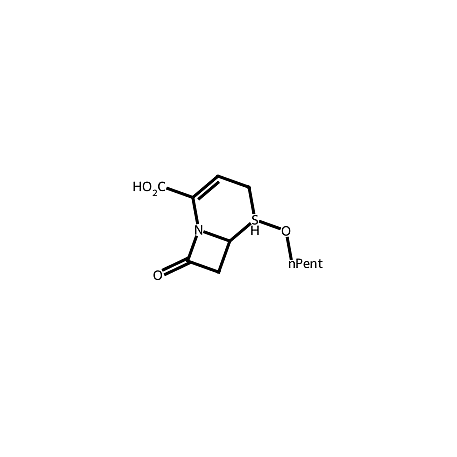 CCCCCO[SH]1CC=C(C(=O)O)N2C(=O)CC21